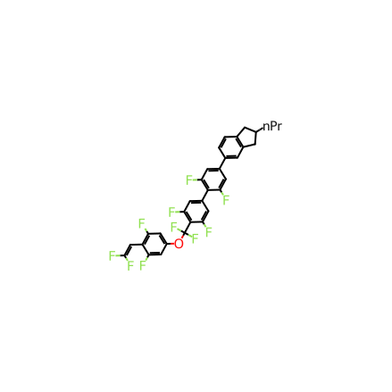 CCCC1Cc2ccc(-c3cc(F)c(-c4cc(F)c(C(F)(F)Oc5cc(F)c(C=C(F)F)c(F)c5)c(F)c4)c(F)c3)cc2C1